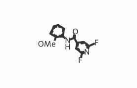 COc1ccccc1NC(=O)c1cc(F)nc(F)c1